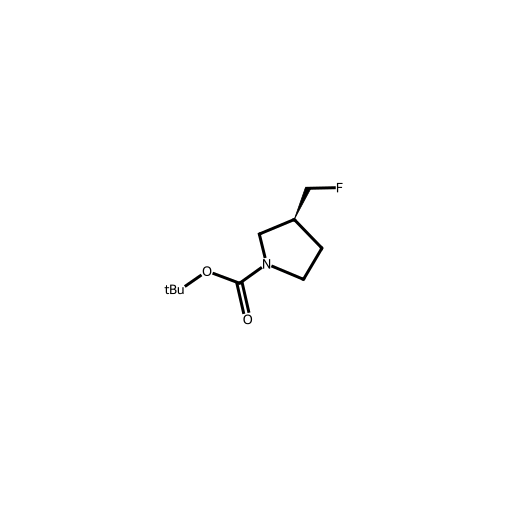 CC(C)(C)OC(=O)N1CC[C@H](CF)C1